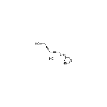 C#CCC#CCC#CCO/N=C1/CN=CNC1.Cl